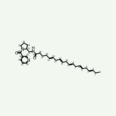 CCC=CCC=CCC=CCC=CCC=CCCCC(=O)NCC1CCCN1C(=O)c1cccnc1